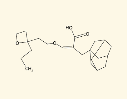 CCCC1(CCOC=C(CC23CC4CC(CC(C4)C2)C3)C(=O)O)CCO1